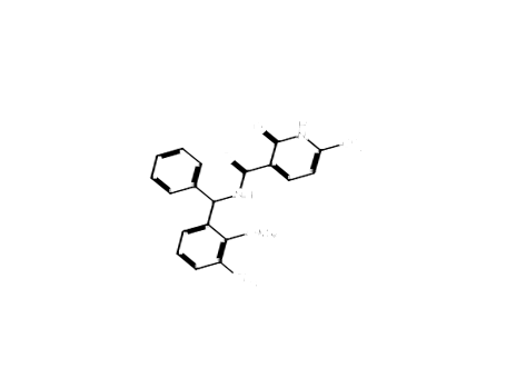 COc1c(C)cccc1C(NC(=O)c1ccc(C(F)(F)F)[nH]c1=O)c1ccccc1